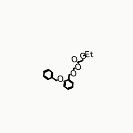 CCOCC(=O)OCOCc1ccccc1OCc1ccccc1